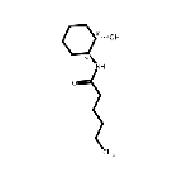 CCCCCC(=O)N[C@H]1CCCC[C@@H]1O